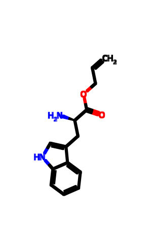 C=CCOC(=O)[C@H](N)Cc1c[nH]c2ccccc12